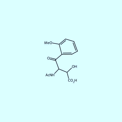 COc1ccccc1C(=O)C(NC(C)=O)C(O)C(=O)O